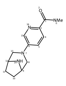 CNC(=O)c1ccc(N2CC3CCC(C2)N3)cn1